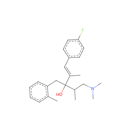 CC(=Cc1ccc(F)cc1)C(O)(Cc1ccccc1C)C(C)CN(C)C